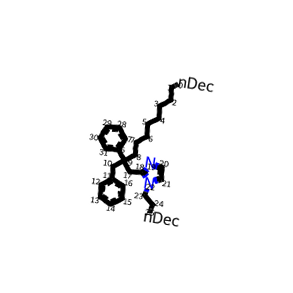 CCCCCCCCCCCCCCCCCCC(Cc1ccccc1)(Cc1nccn1CCCCCCCCCCCC)c1ccccc1